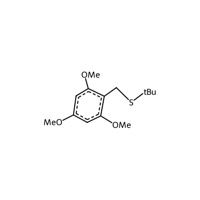 COc1cc(OC)c(CSC(C)(C)C)c(OC)c1